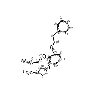 CNC(C(=O)O)[C@H]1[C@H](C)CC[SH]1c1cccc(OCCc2ccccc2)c1